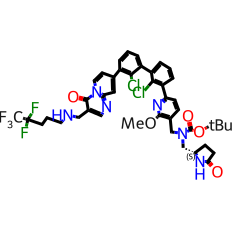 COc1nc(-c2cccc(-c3cccc(-c4ccn5c(=O)c(CNCCCC(F)(F)C(F)(F)F)cnc5c4)c3Cl)c2Cl)ccc1CN(C[C@@H]1CCC(=O)N1)C(=O)OC(C)(C)C